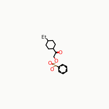 CCC1CCC(C(=O)COS(=O)(=O)c2ccccc2)CC1